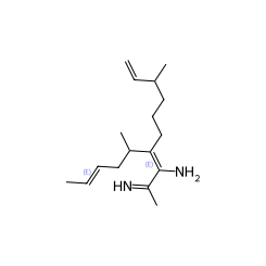 C=CC(C)CCC/C(=C(\N)C(C)=N)C(C)C/C=C/C